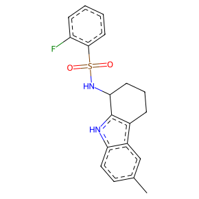 Cc1ccc2[nH]c3c(c2c1)CCCC3NS(=O)(=O)c1ccccc1F